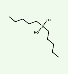 CCCCC[Si](O)(O)CCCCC